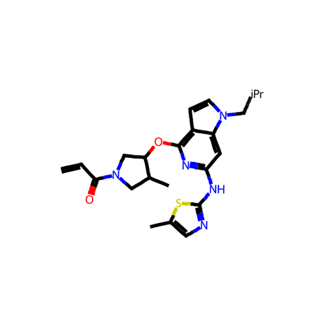 C=CC(=O)N1CC(C)C(Oc2nc(Nc3ncc(C)s3)cc3c2ccn3CC(C)C)C1